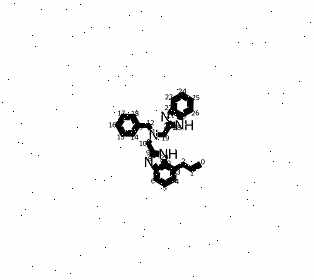 C=CCc1cccc2nc(CN(Cc3ccccc3)Cc3nc4ccccc4[nH]3)[nH]c12